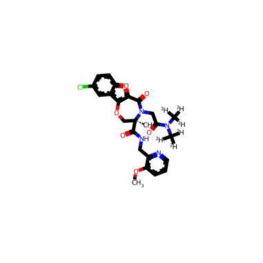 [2H]C([2H])([2H])N(C(=O)CN1C(=O)c2oc3ccc(Cl)cc3c2OC[C@]1(C)C(=O)NCc1ncccc1OC)C([2H])([2H])[2H]